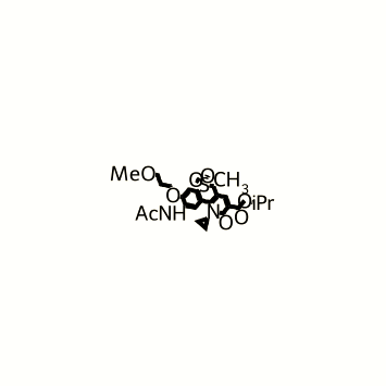 COCCCOc1cc2c(cc1NC(C)=O)-c1c(cc(C(=O)OC(C)C)c(=O)n1C1CC1)C(C)S2(=O)=O